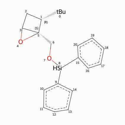 CC(C)(C)[C@H]1CC2O[C@@]21CO[SiH](c1ccccc1)c1ccccc1